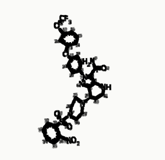 NC(=O)c1c2c(nn1-c1ccc(Oc3cccc(OC(F)(F)F)c3)cc1)[C@H](N1CCN(S(=O)(=O)c3ccccc3[N+](=O)[O-])CC1)CCN2